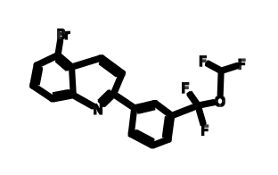 FC(F)OC(F)(F)c1cccc(-c2ccc3c(Br)cccc3n2)c1